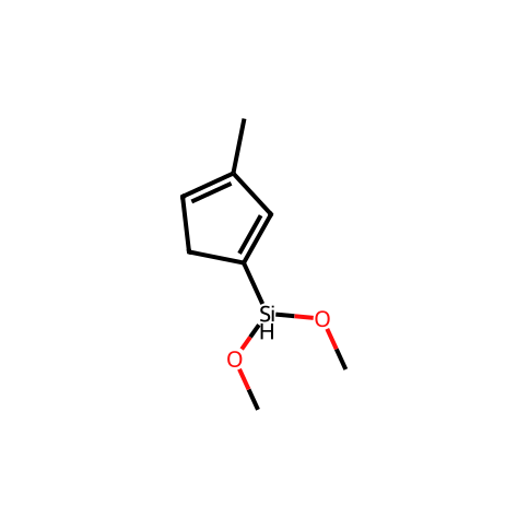 CO[SiH](OC)C1=CC(C)=CC1